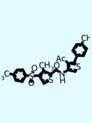 CC(=O)c1c(NC(=O)c2scc(S(=O)(=O)c3ccc(C)cc3)c2C)csc1-c1ccc(C)cc1